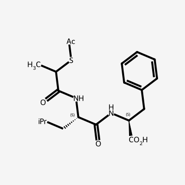 CC(=O)SC(C)C(=O)N[C@@H](CC(C)C)C(=O)N[C@@H](Cc1ccccc1)C(=O)O